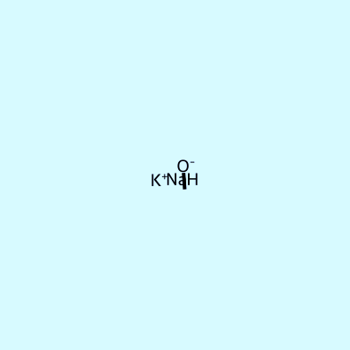 C[O-].[K+].[NaH]